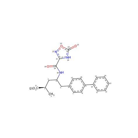 CCOC(=O)[C@H](C)CC(Cc1ccc(-c2ccccc2)cc1)NC(=O)c1noc(=O)[nH]1